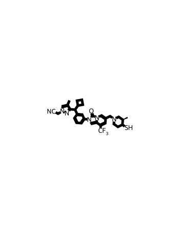 Cc1cn(CC#N)nc1C(c1cccc(-n2cc3c(C(F)(F)F)cc(CN4CCC(S)[C@H](C)C4)cn3c2=O)c1)C1CCC1